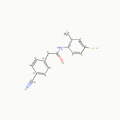 Cc1cc(F)ccc1NC(=O)Cc1ccc(C#N)cc1